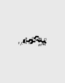 CC(C)n1ncc(Cl)c1-c1cc2n(n1)CCC(=O)N2Cc1ccc(-c2nc(C(F)(F)F)cn2C)nc1